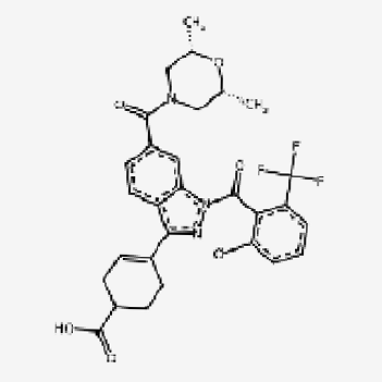 C[C@@H]1CN(C(=O)c2ccc3c(C4=CCC(C(=O)O)CC4)nn(C(=O)c4c(Cl)cccc4C(F)(F)F)c3c2)C[C@H](C)O1